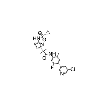 Cc1cc(-c2cncc(Cl)c2)c(F)cc1NC(=O)C(C)(C)c1csc(NS(=O)(=O)C2CC2)n1